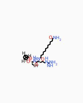 CC(C)C[C@H](NC(=O)[C@H](CCCNC(=N)N)NC(=O)CCCCCCCCCCC(N)=O)B1O[C@@H]2C[C@@H]3C[C@@H](C3(C)C)[C@]2(C)O1